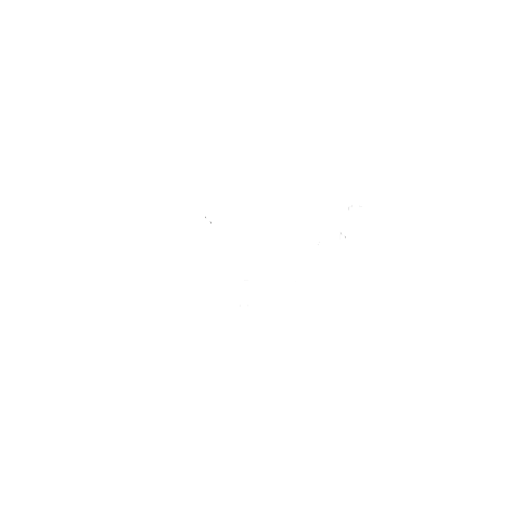 CCCCCCCCNC(=O)/C=C\SC(=O)c1cnc2ccccc2c1